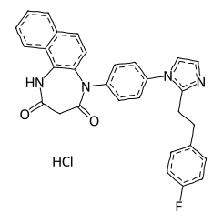 Cl.O=C1CC(=O)N(c2ccc(-n3ccnc3CCc3ccc(F)cc3)cc2)c2ccc3ccccc3c2N1